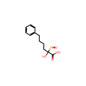 O=PC(O)(CCCCc1ccccc1)C(=O)O